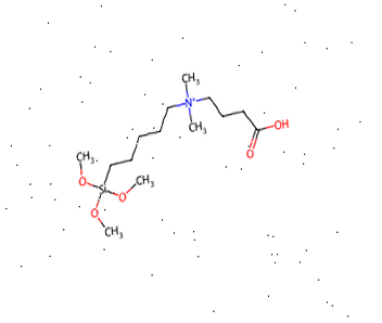 CO[Si](CCCCC[N+](C)(C)CCCC(=O)O)(OC)OC